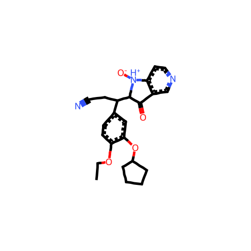 CCOc1ccc(C(CC#N)C2C(=O)c3cnccc3[NH+]2[O-])cc1OC1CCCC1